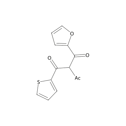 CC(=O)C(C(=O)c1ccco1)C(=O)c1cccs1